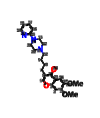 COc1cc2occ(CCCCN3CCN(c4ccccn4)CC3)c(=O)c2cc1OC